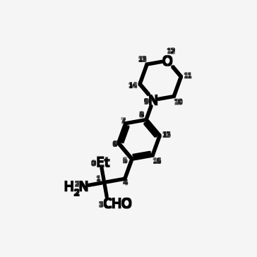 CCC(N)(C=O)Cc1ccc(N2CCOCC2)cc1